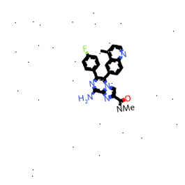 CNC(=O)c1cn2c(-c3ccc4nccc(C)c4c3)c(-c3ccc(F)cc3)nc(N)c2n1